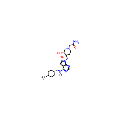 CCN(C[C@H]1CC[C@H](C)CC1)c1ncnc2c1ccn2C[C@]1(O)CCN(CC(N)=O)C[C@H]1O